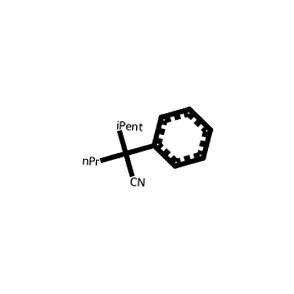 CCCC(C)C(C#N)(CCC)c1ccccc1